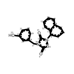 O=c1sn(-c2cccc3ccccc23)c(=O)n1Cc1cccc(O)c1